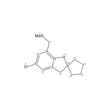 COCc1cc(Cl)cc2c1OC1(CCCC1)C2